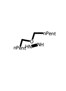 CCCCCCOCCCCCC.N=N